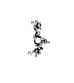 Nc1nc2c(ncn2C2OC3CO[C@@H]4C[C@H](n5cnc6c(N)ncnc65)OC4COP(=O)(S)OC2C3O)c(=O)[nH]1